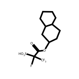 O=C(OC1CCC2CCCCC2C1)C(F)(C(F)(F)F)S(=O)(=O)O